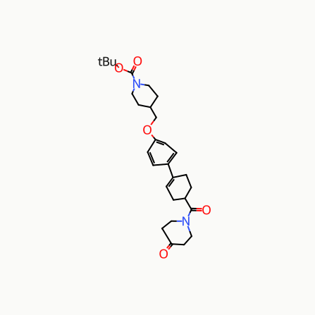 CC(C)(C)OC(=O)N1CCC(COc2ccc(C3=CCC(C(=O)N4CCC(=O)CC4)CC3)cc2)CC1